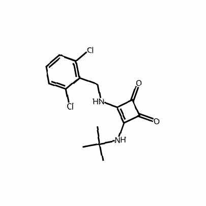 CC(C)(C)Nc1c(NCc2c(Cl)cccc2Cl)c(=O)c1=O